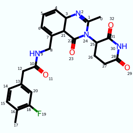 CC1=NC2C=CC=C(CNC(=O)Cc3ccc(C)c(F)c3)C2C(=O)N1C1CCC(=O)NC1=O